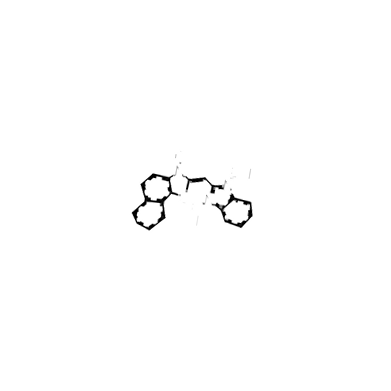 CN1C(=Cc2n(C)c3ccccc3[n+]2C)Oc2c1ccc1ccccc21